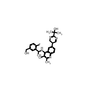 Cc1nc2ccc(C3C=NC(C(C)(C)O)=NC3)cc2c(NC(C)c2cc(CO)ccc2F)c1Cl